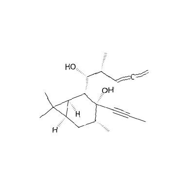 C=C=C[C@@H](C)[C@@H](O)[C@H]1[C@H]2[C@@H](C[C@@H](C)[C@]1(O)C#CC)C2(C)C